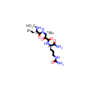 CC[C@H](C)C(NC(=O)[C@H](CC(C)C)NC(=O)O)C(=O)C(=O)N[C@H](CCCNC(N)=O)C(N)=O